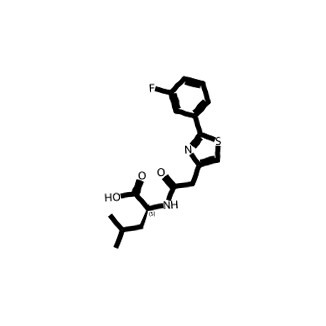 CC(C)C[C@H](NC(=O)Cc1csc(-c2cccc(F)c2)n1)C(=O)O